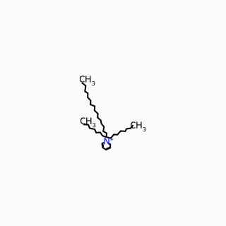 CCCCCCCCCCCCCCCCCC(CCCCCCCC)(CCCCCCCC)[n+]1ccccc1